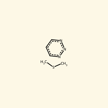 CSC.c1cnnnc1